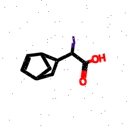 O=C(O)C(I)C1CC2C=CC1C2